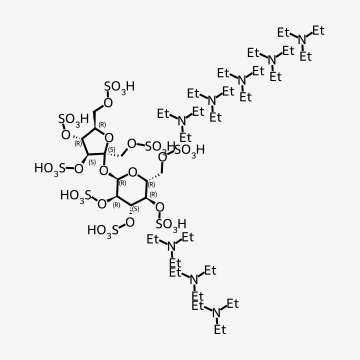 CCN(CC)CC.CCN(CC)CC.CCN(CC)CC.CCN(CC)CC.CCN(CC)CC.CCN(CC)CC.CCN(CC)CC.CCN(CC)CC.O=S(=O)(O)OC[C@H]1O[C@@](COS(=O)(=O)O)(O[C@H]2O[C@H](COS(=O)(=O)O)[C@@H](OS(=O)(=O)O)[C@H](OS(=O)(=O)O)[C@H]2OS(=O)(=O)O)[C@@H](OS(=O)(=O)O)[C@@H]1OS(=O)(=O)O